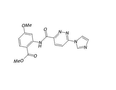 COC(=O)c1ccc(OC)cc1NC(=O)c1ccc(-n2ccnc2)nn1